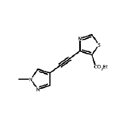 CCOC(=O)c1scnc1C#Cc1cnn(C)c1